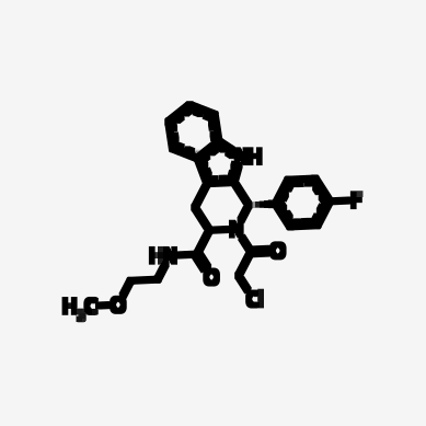 COCCNC(=O)C1Cc2c([nH]c3ccccc23)[C@H](c2ccc(F)cc2)N1C(=O)CCl